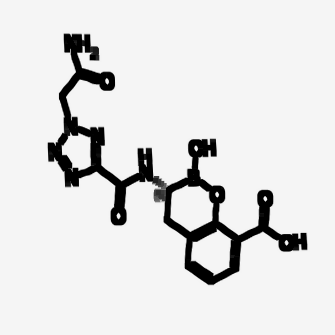 NC(=O)Cn1nnc(C(=O)N[C@H]2Cc3cccc(C(=O)O)c3OB2O)n1